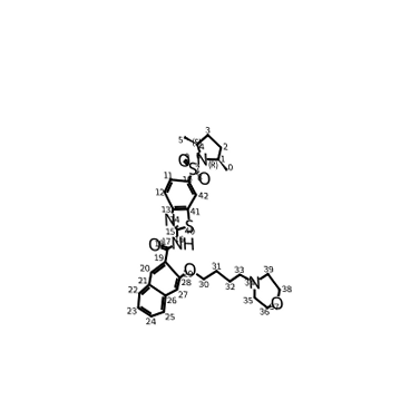 C[C@@H]1CC[C@H](C)N1S(=O)(=O)c1ccc2nc(NC(=O)c3cc4ccccc4cc3OCCCCN3CCOCC3)sc2c1